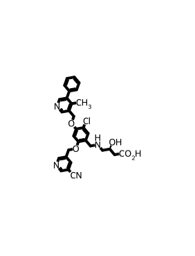 Cc1c(COc2cc(OCc3cncc(C#N)c3)c(CNC[C@@H](O)CC(=O)O)cc2Cl)cncc1-c1ccccc1